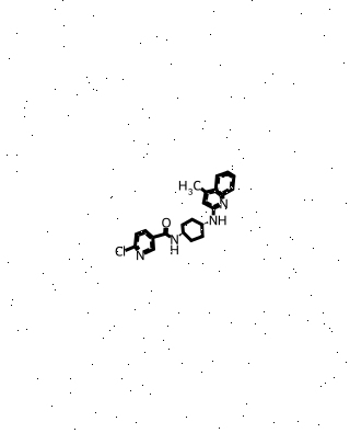 Cc1cc(N[C@H]2CC[C@@H](NC(=O)c3ccc(Cl)nc3)CC2)nc2ccccc12